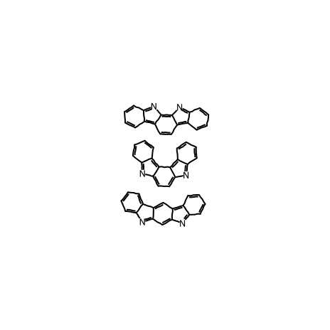 c1ccc2c(c1)=Nc1c3c(ccc1=2)=c1ccccc1=N3.c1ccc2c(c1)=Nc1ccc3c(c1=2)=c1ccccc1=N3.c1ccc2c(c1)N=c1cc3c(cc1-2)=c1ccccc1=N3